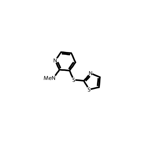 CNc1ncccc1Sc1nccs1